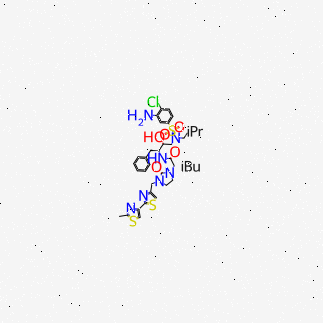 CC[C@H](C)[C@@H](C(=O)N[C@@H](Cc1ccccc1)[C@@H](O)CN(CC(C)C)S(=O)(=O)c1ccc(Cl)c(N)c1)N1CCN(Cc2csc(-c3csc(C)n3)n2)C1=O